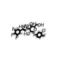 OCC1O[C@H](Sc2ccc(F)c(Cl)c2)C(O)C(N2C=C(c3cc(F)c(F)c(F)c3)NN2)[C@H]1O